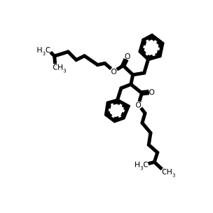 CC(C)CCCCCOC(=O)C(Cc1ccccc1)C(Cc1ccccc1)C(=O)OCCCCCC(C)C